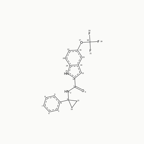 O=C(NC1(c2ccccc2)CC1)c1cc2cc(OC(F)(F)F)ccc2[nH]1